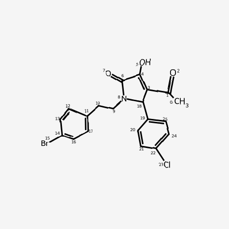 CC(=O)C1=C(O)C(=O)N(CCc2ccc(Br)cc2)C1c1ccc(Cl)cc1